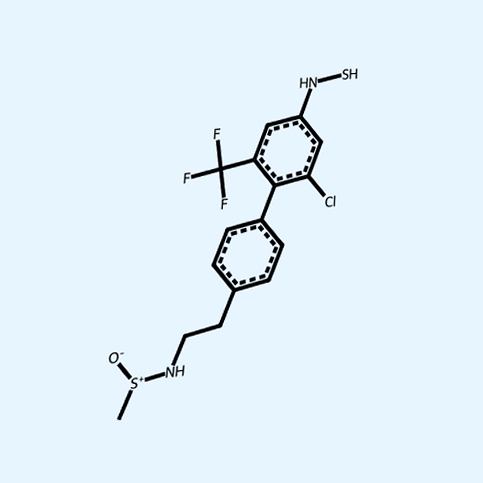 C[S+]([O-])NCCc1ccc(-c2c(Cl)cc(NS)cc2C(F)(F)F)cc1